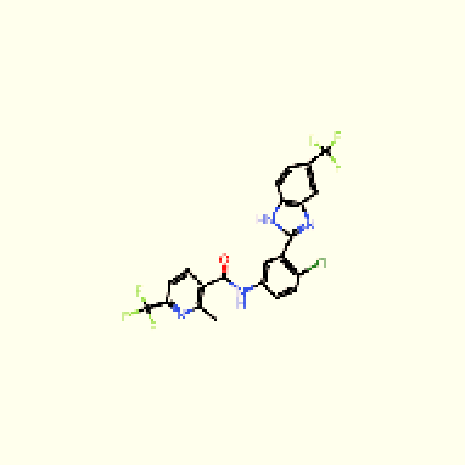 Cc1nc(C(F)(F)F)ccc1C(=O)Nc1ccc(Cl)c(-c2nc3cc(C(F)(F)F)ccc3[nH]2)c1